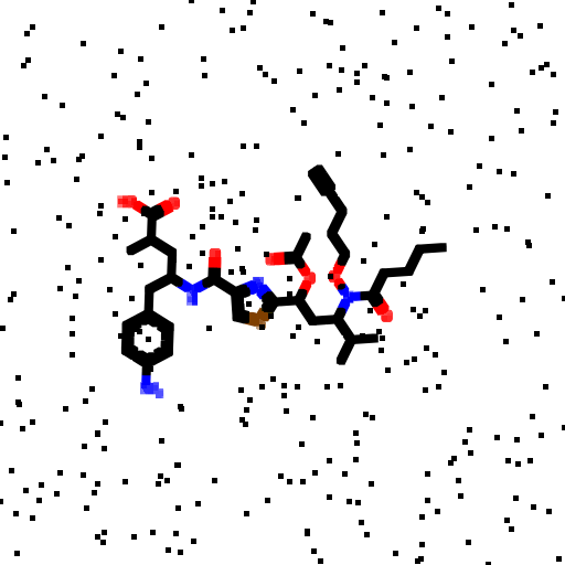 C#CCCCON(C(=O)CCCC)C(CC(OC(C)=O)c1nc(C(=O)NC(Cc2ccc(N)cc2)CC(C)C(=O)O)cs1)C(C)C